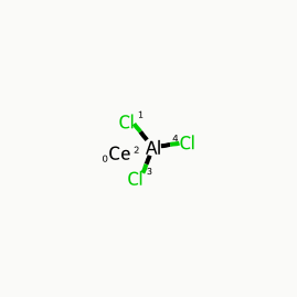 [Ce].[Cl][Al]([Cl])[Cl]